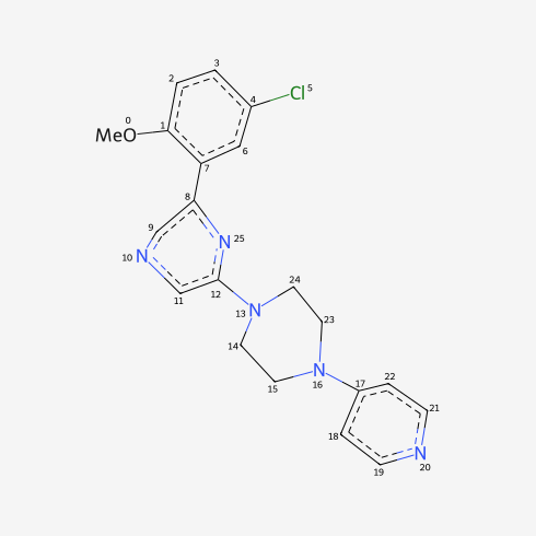 COc1ccc(Cl)cc1-c1cncc(N2CCN(c3ccncc3)CC2)n1